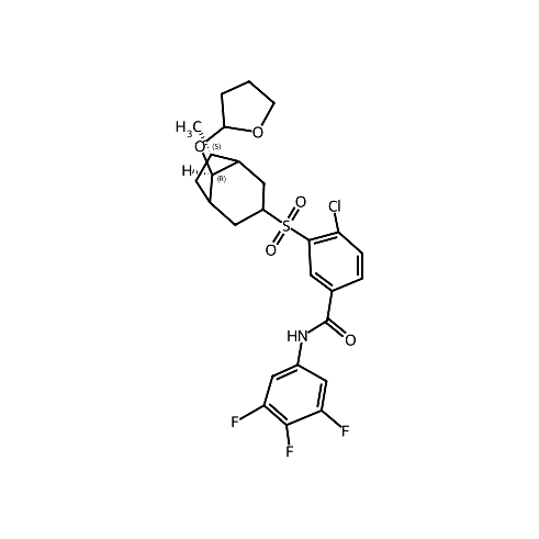 C[C@H]1CC2CC(S(=O)(=O)c3cc(C(=O)Nc4cc(F)c(F)c(F)c4)ccc3Cl)CC1[C@@H]2OC1CCCO1